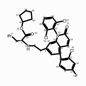 CC(C)C[C@H](NCCc1cc(-c2ccc(F)cc2Cl)c2ccc(=O)n(-c3c(Cl)cccc3Cl)c2c1)C(=O)OC1CCCC1